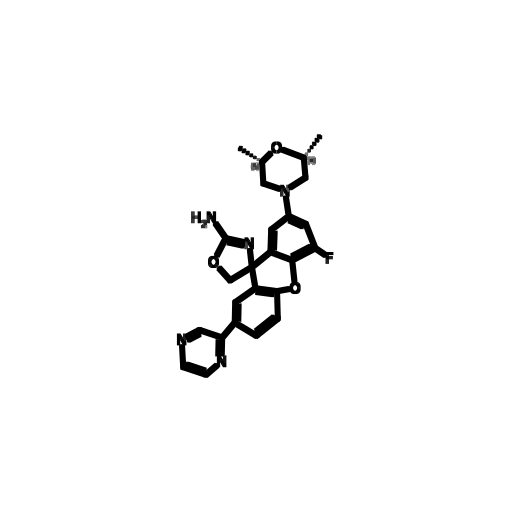 C[C@@H]1CN(c2cc(F)c3c(c2)C2(COC(N)=N2)c2cc(-c4cnccn4)ccc2O3)C[C@H](C)O1